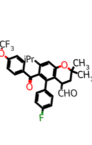 CC(C)c1cc2c(c(-c3ccc(F)cc3)c1C(=O)c1ccc(OC(F)(F)F)cc1)C(C=O)CC(C)(C)O2